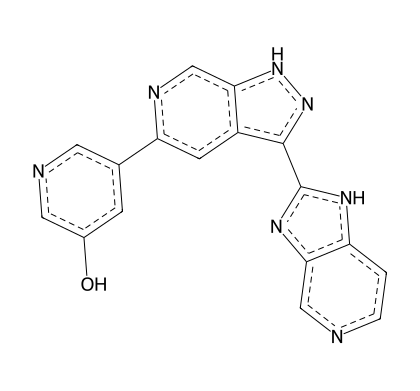 Oc1cncc(-c2cc3c(-c4nc5cnccc5[nH]4)n[nH]c3cn2)c1